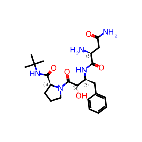 CC(C)(C)NC(=O)[C@@H]1CCCN1C(=O)[C@@H](O)[C@H](Cc1ccccc1)NC(=O)[C@@H](N)CC(N)=O